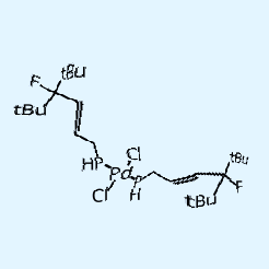 CC(C)(C)C(F)(C=CC[PH][Pd]([Cl])([Cl])[PH]CC=CC(F)(C(C)(C)C)C(C)(C)C)C(C)(C)C